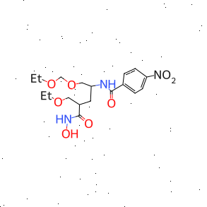 CCOCOCC(CC(COCC)C(=O)NO)NC(=O)c1ccc([N+](=O)[O-])cc1